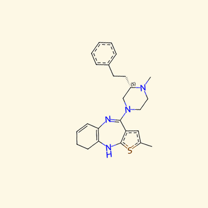 Cc1cc2c(s1)NC1=C(C=CCC1)N=C2N1CCN(C)[C@@H](CCc2ccccc2)C1